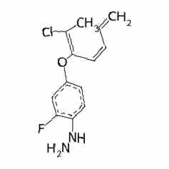 C=C/C=C\C(Oc1ccc(NN)c(F)c1)=C(/C)Cl